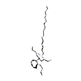 CCCCCCCCCCCCCCCC[N+](C)(C)C(CCCC)(CCCC)c1ccccc1CCCC.[Br-]